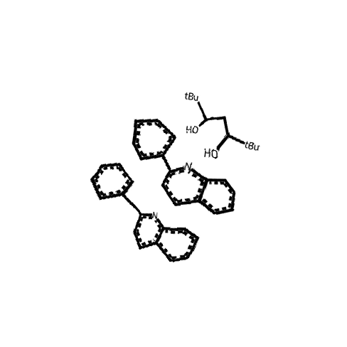 CC(C)(C)C(O)CC(O)C(C)(C)C.c1ccc(-c2ccc3ccccc3n2)cc1.c1ccc(-c2ccc3ccccc3n2)cc1